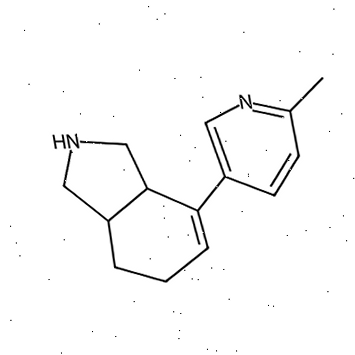 Cc1ccc(C2=CCCC3CNCC23)cn1